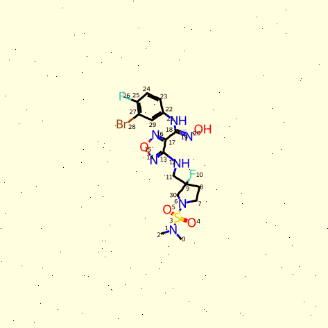 CN(C)S(=O)(=O)N1CCC(F)(CNc2nonc2/C(=N/O)Nc2ccc(F)c(Br)c2)C1